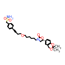 CC1(C)OCc2cc([C@@H]3CN(CCCCCCOCCC#Cc4ccc(CS(N)(=O)=O)cc4)C(=O)O3)ccc2O1